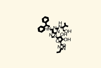 CCc1noc([C@H]2O[C@@H](n3cnc4c(NCC(c5ccccc5)c5ccccc5)nc(N[C@H](CO)C(C)C)nc43)[C@H](O)[C@@H]2O)n1